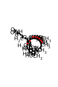 C=C(CCCC(=O)NC(C=O)C=O)OCCN1CCN(/N=C/c2c3c(O)c4c(O)c(C)c5c(c4c2O)C(=O)[C@@](C)(O/C=C/[C@H](C)[C@@H](C)[C@@H](OC(C)=O)[C@H](C)[C@H](O)[C@H](C)[C@@H](O)[C@@H](C)/C=C/C=C(/C)C(=O)N3)O5)CC1